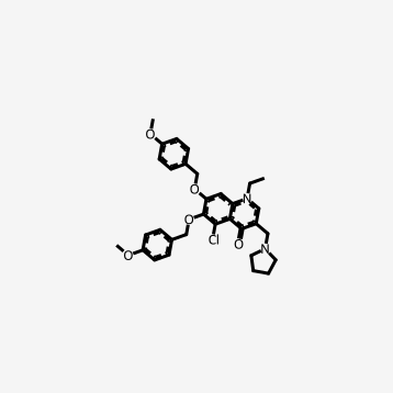 CCn1cc(CN2CCCC2)c(=O)c2c(Cl)c(OCc3ccc(OC)cc3)c(OCc3ccc(OC)cc3)cc21